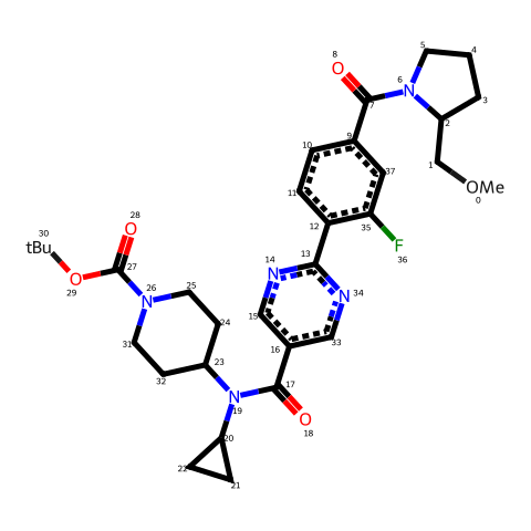 COCC1CCCN1C(=O)c1ccc(-c2ncc(C(=O)N(C3CC3)C3CCN(C(=O)OC(C)(C)C)CC3)cn2)c(F)c1